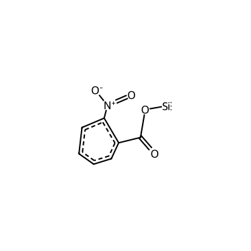 O=C(O[Si])c1ccccc1[N+](=O)[O-]